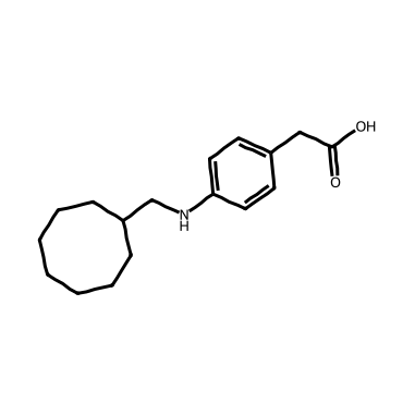 O=C(O)Cc1ccc(NCC2CCCCCCC2)cc1